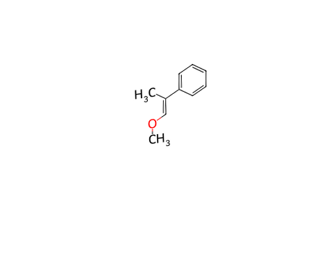 COC=C(C)c1ccccc1